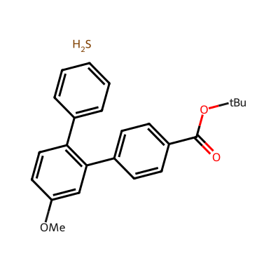 COc1ccc(-c2ccccc2)c(-c2ccc(C(=O)OC(C)(C)C)cc2)c1.S